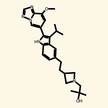 COc1cc(-c2[nH]c3ccc(CCC4CN(CC(C)(C)O)C4)cc3c2C(C)C)cn2ncnc12